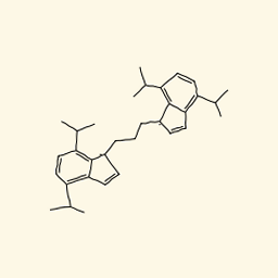 CC(C)c1ccc(C(C)C)c2c1C=C[C]2CCC[C]1C=Cc2c(C(C)C)ccc(C(C)C)c21